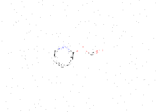 O=COc1ccc[c]n1